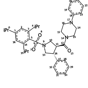 CC(C)c1cc(C(C)C)c(S(=O)(=O)N2C[C@@H](C(=O)N3CCN(c4ccccc4)CC3)[C@H](c3ccccc3)C2)c(C(C)C)c1